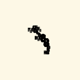 CC12CCC3c4ccc(OCCS)cc4CCC3C1CCC2OCCCOC(C(F)(F)F)(C(F)(F)F)C(F)(F)F